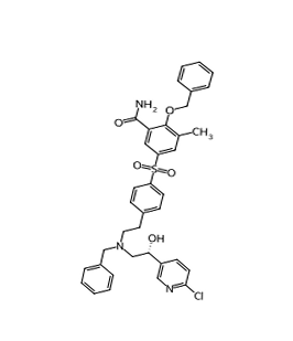 Cc1cc(S(=O)(=O)c2ccc(CCN(Cc3ccccc3)C[C@H](O)c3ccc(Cl)nc3)cc2)cc(C(N)=O)c1OCc1ccccc1